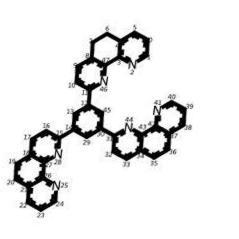 c1cnc2c(c1)CCc1ccc(-c3cc(-c4ccc5ccc6cccnc6c5n4)cc(-c4ccc5ccc6cccnc6c5n4)c3)nc1-2